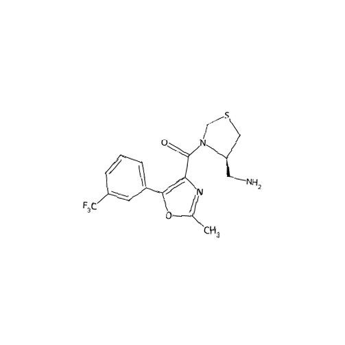 Cc1nc(C(=O)N2CSC[C@H]2CN)c(-c2cccc(C(F)(F)F)c2)o1